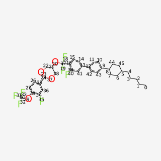 CCCCCC1CCC(c2ccc(-c3ccc(C(F)(F)OC4COC(c5ccc(OC(F)(F)F)c(F)c5)OC4)c(F)c3)cc2)CC1